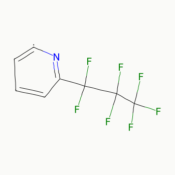 FC(F)(F)C(F)(F)C(F)(F)c1ccc[c]n1